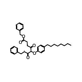 CCCCCCCCc1ccc(OC(C(=O)[CH]Cc2ccccc2)C(=O)CCC(=O)OCc2ccccc2)cc1